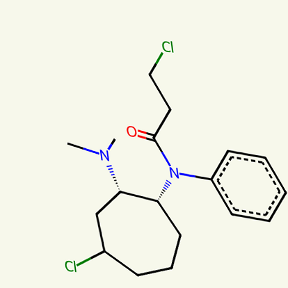 CN(C)[C@H]1CC(Cl)CCC[C@H]1N(C(=O)CCCl)c1ccccc1